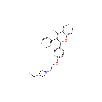 C/C=C\C(=C/C)C1=C(C)C(=C/C)/C(=C\C)O[C@H]1c1ccc(OCCN2CC(CF)C2)cc1